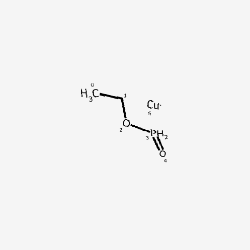 CCO[PH2]=O.[Cu]